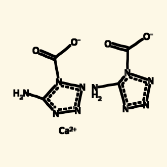 Nc1nnnn1C(=O)[O-].Nc1nnnn1C(=O)[O-].[Ca+2]